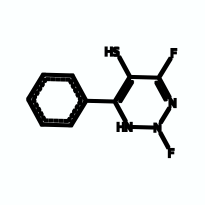 FC1=NN(F)NC(c2ccccc2)=C1S